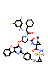 CC[C@@H]1C[C@]1(NC(=O)[C@@H]1C[C@@H](Oc2nc(-c3ccc(C(F)(F)F)cc3)nc3c2oc2ccccc23)CN1C(=O)[C@@H](Nc1cc(F)cc(F)c1)C1CCCCC1)C(=O)NS(=O)(=O)C1CC1